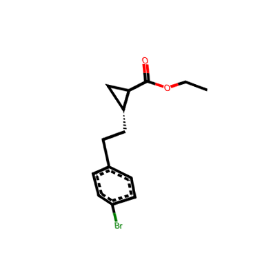 CCOC(=O)C1C[C@H]1CCc1ccc(Br)cc1